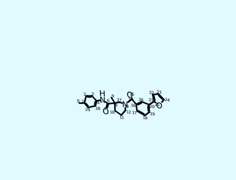 Cc1ccc(NC(=O)C2(C)CCCN(C(=O)c3cccc(-c4ccco4)c3)C2)cc1